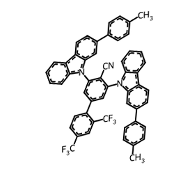 Cc1ccc(-c2ccc3c4ccccc4n(-c4cc(-c5ccc(C(F)(F)F)cc5C(F)(F)F)cc(-n5c6ccccc6c6ccc(-c7ccc(C)cc7)cc65)c4C#N)c3c2)cc1